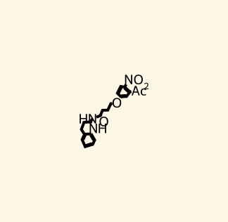 CC(=O)c1cc(OCCCC(=O)NC2CCc3ccccc3N2)ccc1[N+](=O)[O-]